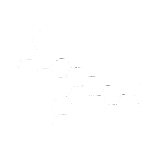 CCO[C@H](Cc1ccc(OC(C=O)N(Cc2ccc(Cl)cc2)Cc2ccc(C(C)C)cc2)cc1)C(=O)O